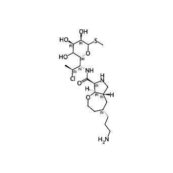 CSC1O[C@H]([C@H](NC(=O)[C@H]2NC[C@@H]3C[C@H](CCCN)CCO[C@H]32)[C@H](C)Cl)C(O)[C@@H](O)[C@H]1O